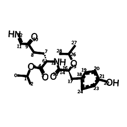 CC(C)OC(=O)[C@H](CCC(=O)C=N)NC(=O)[C@H](Cc1ccc(O)cc1)OC(C)C